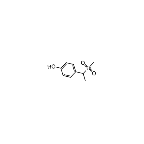 CC(c1ccc(O)cc1)[Te](C)(=O)=O